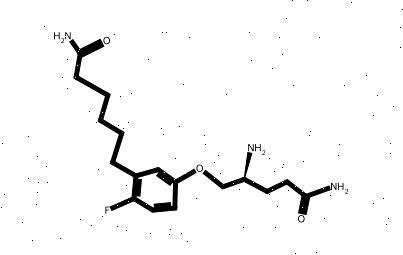 NC(=O)CCCCCc1cc(OC[C@@H](N)CCC(N)=O)ccc1F